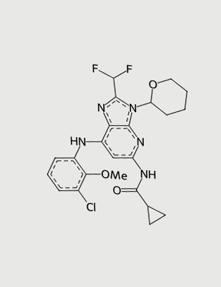 COc1c(Cl)cccc1Nc1cc(NC(=O)C2CC2)nc2c1nc(C(F)F)n2C1CCCCO1